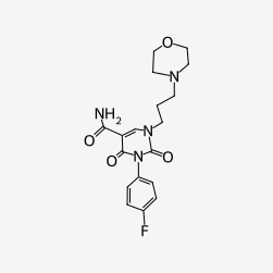 NC(=O)c1cn(CCCN2CCOCC2)c(=O)n(-c2ccc(F)cc2)c1=O